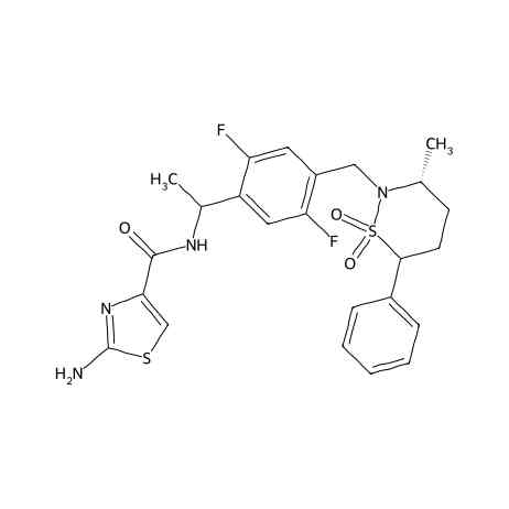 CC(NC(=O)c1csc(N)n1)c1cc(F)c(CN2[C@H](C)CCC(c3ccccc3)S2(=O)=O)cc1F